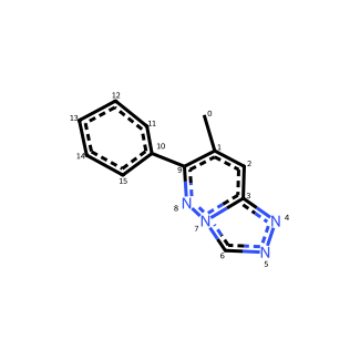 Cc1cc2nncn2nc1-c1ccccc1